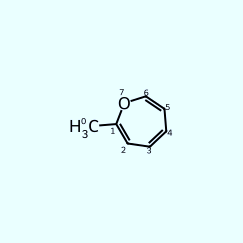 CC1=CC=CC=CO1